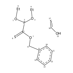 CCOP(OCC)C(=S)OCc1ccccc1.OC=S